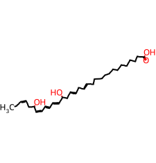 CC/C=C\CC(O)\C=C/C=C/C=C/C(O)CC=CCC=CCCCCCCCCCCCCC(=O)O